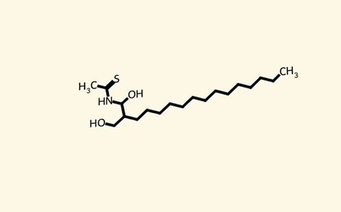 CCCCCCCCCCCCCCC(CO)C(O)NC(C)=S